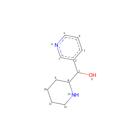 OC(c1cccnc1)C1CCCCN1